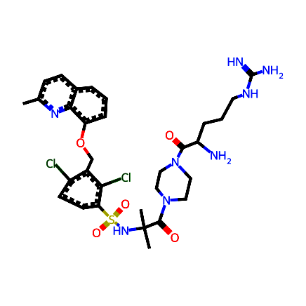 Cc1ccc2cccc(OCc3c(Cl)ccc(S(=O)(=O)NC(C)(C)C(=O)N4CCN(C(=O)C(N)CCCNC(=N)N)CC4)c3Cl)c2n1